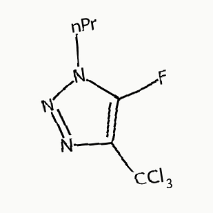 CCCn1nnc(C(Cl)(Cl)Cl)c1F